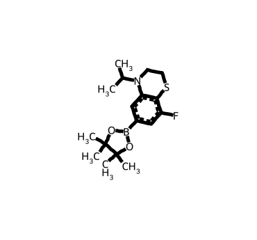 CC(C)N1CCSc2c(F)cc(B3OC(C)(C)C(C)(C)O3)cc21